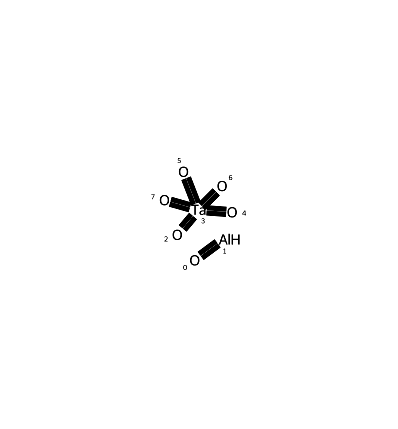 [O]=[AlH].[O]=[Ta](=[O])(=[O])(=[O])=[O]